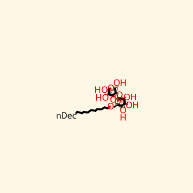 CCCCCCCCCCCCCCCCCCCCOC[C@H]1O[C@@H](O[C@H]2[C@H](O)[C@@H](O)[C@@H](O)O[C@@H]2CO)[C@H](O)[C@@H](O)[C@H]1O